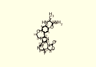 CC(Nc1ccc2c(c1)OCCn1c-2nc(N2C(=O)OC[C@H]2C(F)(F)F)c1C#N)C(N)=O